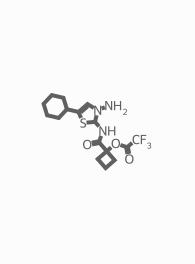 NN1C=C(C2CCCCC2)SC1NC(=O)C1(OC(=O)C(F)(F)F)CCC1